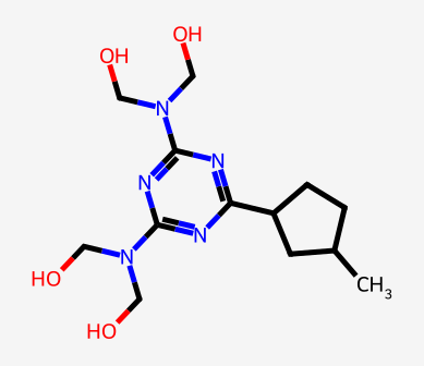 CC1CCC(c2nc(N(CO)CO)nc(N(CO)CO)n2)C1